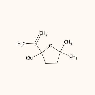 C=C(C)C1(C(C)(C)C)CCC(C)(C)O1